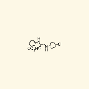 O=C(CNc1ccc(Cl)cc1)Nc1ccccc1C(=O)O